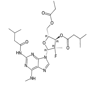 CCC(=O)OC[C@H]1O[C@@H](n2cnc3c(NC)nc(NC(=O)CC(C)C)nc32)[C@](C)(F)[C@@H]1OC(=O)CC(C)C